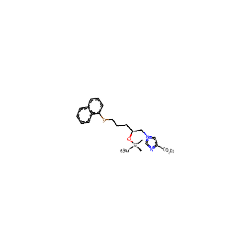 CCOC(=O)c1cn(C[C@H](CCCSc2cccc3ccccc23)O[Si](C)(C)C(C)(C)C)cn1